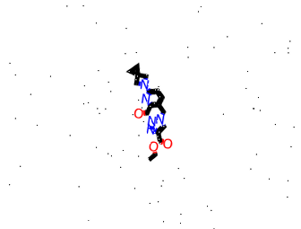 CCOC(=O)c1cn(Cc2ccc(N3CC4(CC4)C3)nc2C=O)nn1